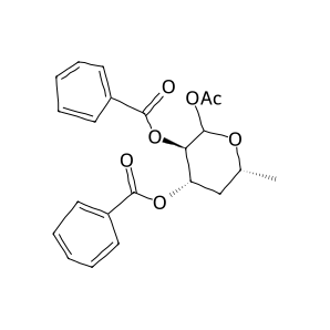 CC(=O)OC1O[C@H](C)C[C@H](OC(=O)c2ccccc2)[C@H]1OC(=O)c1ccccc1